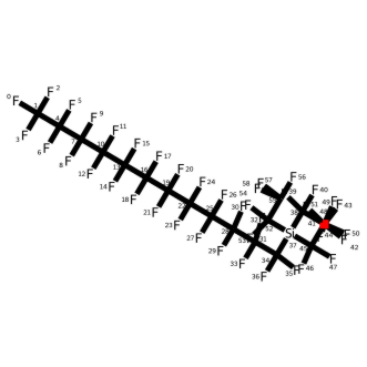 FC(F)(F)C(F)(F)C(F)(F)C(F)(F)C(F)(F)C(F)(F)C(F)(F)C(F)(F)C(F)(F)C(F)(F)C(F)(F)C(F)(F)[Si](C(F)(F)C(F)(F)F)(C(F)(F)C(F)(F)F)C(F)(F)C(F)(F)F